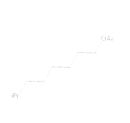 CC(=O)OCCCCCCC(C)C